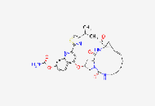 CC(C)c1csc(-c2cc(OC3CC4C(=O)NC5([C]=O)CC5/C=C/CCCCNC(=O)N4C3)c3ccc(OC(N)=O)cc3n2)n1